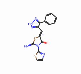 N=C1S/C(=C\c2n[nH]nc2-c2ccccc2)C(=O)N1c1nccs1